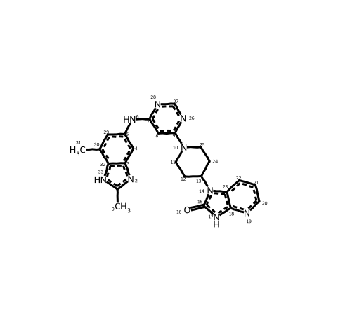 Cc1nc2cc(Nc3cc(N4CCC(n5c(=O)[nH]c6ncccc65)CC4)ncn3)cc(C)c2[nH]1